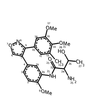 COc1ccc(-c2conc2-c2cc(C)c(OC)c(OC)c2)cc1NC(=O)C(N)C(C)O